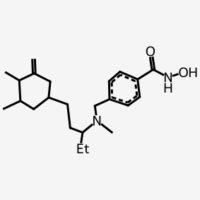 C=C1CC(CCC(CC)N(C)Cc2ccc(C(=O)NO)cc2)CC(C)C1C